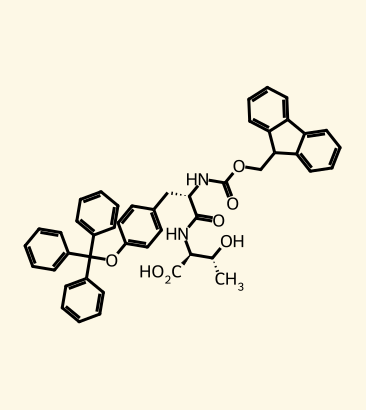 C[C@@H](O)[C@H](NC(=O)[C@H](Cc1ccc(OC(c2ccccc2)(c2ccccc2)c2ccccc2)cc1)NC(=O)OCC1c2ccccc2-c2ccccc21)C(=O)O